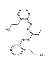 CCC(N=Nc1cccc[n+]1CCO)=NN=c1ccccn1CCO